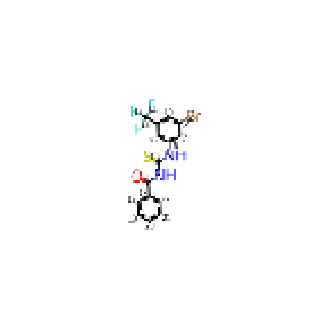 O=C(NC(=S)Nc1cc(Br)cc(C(F)(F)F)c1)c1ccccc1